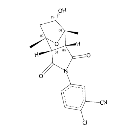 C[C@@]12O[C@@](C)(C[C@@H]1O)[C@H]1C(=O)N(c3ccc(Cl)c(C#N)c3)C(=O)[C@H]12